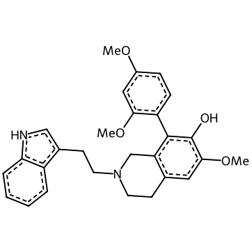 COc1ccc(-c2c(O)c(OC)cc3c2CN(CCc2c[nH]c4ccccc24)CC3)c(OC)c1